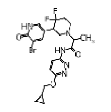 CC(C(=O)Nc1ccc(OCC2CC2)nn1)N1CCC(F)(F)C(c2c[nH]c(=O)c(Br)c2)C1